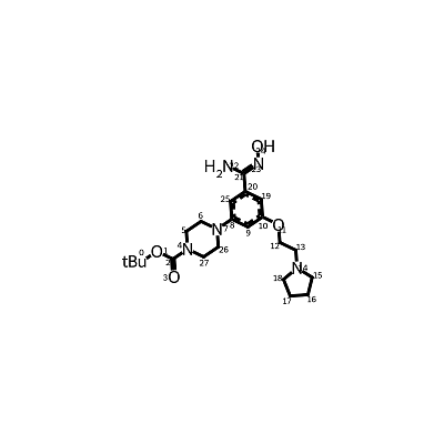 CC(C)(C)OC(=O)N1CCN(c2cc(OCCN3CCCC3)cc(/C(N)=N/O)c2)CC1